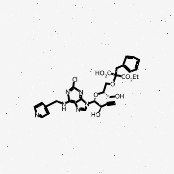 C#C[C@@H](O)[C@@H](O[C@@H](CO)COC(Cc1ccccc1)(C(=O)O)C(=O)OCC)n1cnc2c(NCc3ccncc3)nc(Cl)nc21